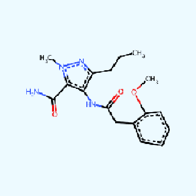 CCCc1nn(C)c(C(N)=O)c1NC(=O)Cc1ccccc1OC